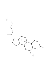 CC(C)CCCC(C)[C@H]1CC[C@H]2[C@@H]3CC(O)C4CC(O)CC[C@]4(C)[C@H]3CC[C@]12C